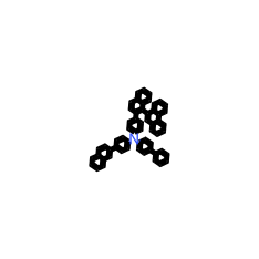 c1ccc(-c2ccc(N(c3ccc(-c4ccc5ccccc5c4)cc3)c3ccc(-c4ccc5ccccc5c4-c4cc5ccccc5c5ccccc45)cc3)cc2)cc1